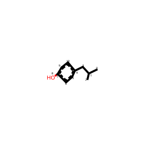 CC(C)[CH]c1ccc(O)cc1